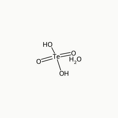 O.O=[Te](=O)(O)O